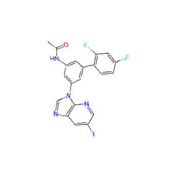 CC(=O)Nc1cc(-c2ccc(F)cc2F)cc(-n2cnc3cc(I)cnc32)c1